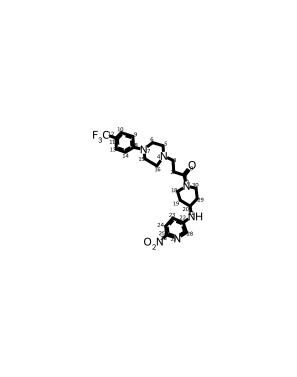 O=C(CCN1CCN(c2ccc(C(F)(F)F)cc2)CC1)N1CCC(Nc2ccc([N+](=O)[O-])nc2)CC1